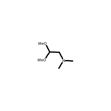 COC(CN(C)C)OC